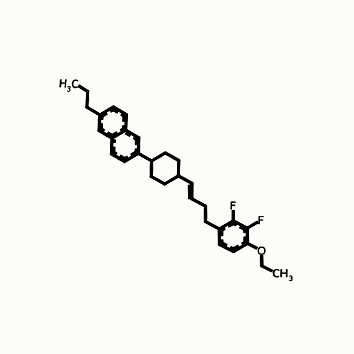 CCCc1ccc2cc(C3CCC(/C=C/CCc4ccc(OCC)c(F)c4F)CC3)ccc2c1